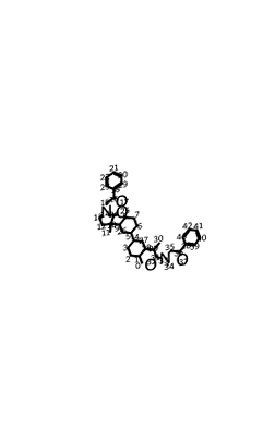 CC1CCC(C2CCCC(C3(C)CCN(CC(=O)c4ccccc4)C3=O)C2)CC1C(C)C(=O)N(C)CC(=O)c1ccccc1